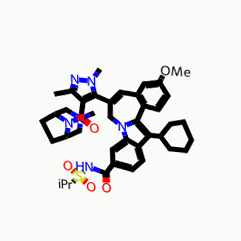 COc1ccc2c(c1)C=C(c1c(C(=O)N3C4CCC3CN(C)C4)c(C)nn1C)Cn1c-2c(C2CCCCC2)c2ccc(C(=O)NS(=O)(=O)C(C)C)cc21